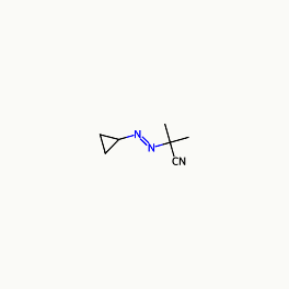 CC(C)(C#N)/N=N/C1CC1